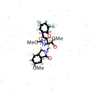 COC(=O)N[C@](CN1Cc2ccc(OC)cc2C1=O)(C(=O)OC)c1cc2cc(F)cc(F)c2o1